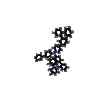 c1ccc(-c2ccc(N(c3ccc(-c4ccc(-c5ccccc5)c(-c5ccccc5)c4)cc3)c3ccc(-c4ccccc4-n4c5ccccc5c5ccccc54)cc3)cc2)cc1